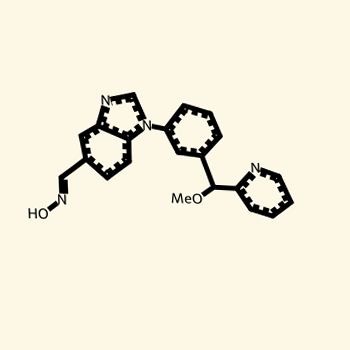 COC(c1cccc(-n2cnc3cc(/C=N/O)ccc32)c1)c1ccccn1